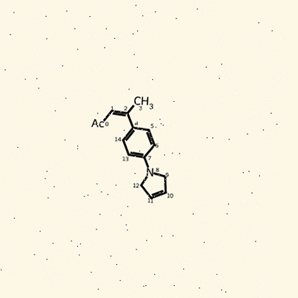 CC(=O)/C=C(/C)c1ccc(N2CC=CC2)cc1